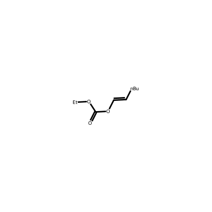 CCCCC=COC(=O)OCC